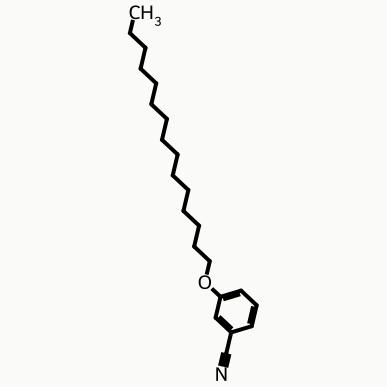 CCCCCCCCCCCCCCCOc1cccc(C#N)c1